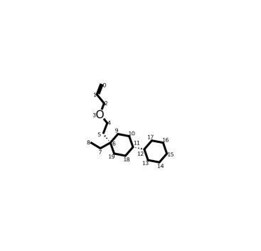 C=CCOCC[C@]1(CC)CC[C@H](C2CCCCC2)CC1